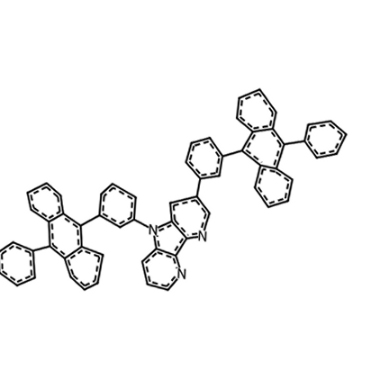 c1ccc(-c2c3ccccc3c(-c3cccc(-c4cnc5c6ncccc6n(-c6cccc(-c7c8ccccc8c(-c8ccccc8)c8ccccc78)c6)c5c4)c3)c3ccccc23)cc1